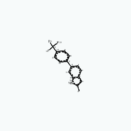 Cc1cc2ccc(-c3ccc(C(F)(F)F)cc3)cc2[nH]1